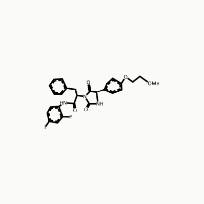 COCCOc1ccc([C@H]2NC(=O)N(C(Cc3ccccc3)C(=O)Nc3ccc(I)cc3F)C2=O)cc1